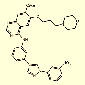 COc1cc2ncnc(Nc3cccc(-c4cn(-c5cccc([N+](=O)[O-])c5)nn4)c3)c2cc1OCCCN1CCOCC1